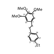 CCc1ccc(CCc2cc(OC)c(OC)c(OC)c2)cc1